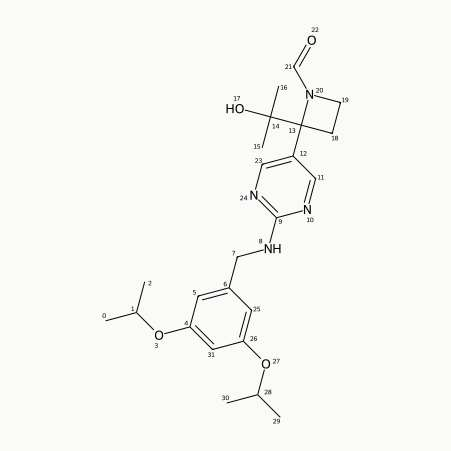 CC(C)Oc1cc(CNc2ncc(C3(C(C)(C)O)CCN3C=O)cn2)cc(OC(C)C)c1